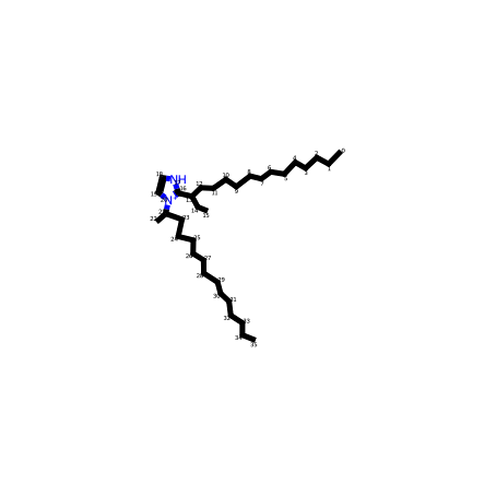 CCCCCCCCCCCCCC(CC)c1[nH]cc[n+]1C(C)CCCCCCCCCCCCC